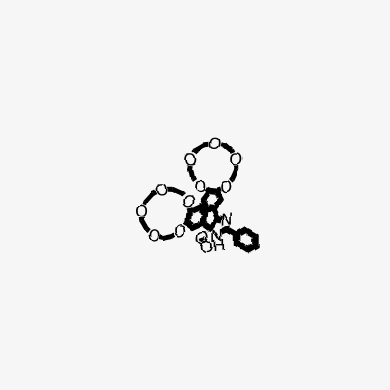 OOC1(c2ccc3c(c2)OCCOCCOCCOCCO3)N=C(c2ccccc2)N=C1c1ccc2c(c1)OCCOCCOCCOCCO2